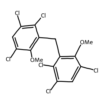 COc1c(Cl)cc(Cl)c(Cl)c1Cc1c(Cl)c(Cl)cc(Cl)c1OC